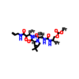 C=CCNC(=O)C(=O)C(CCC)NC(=O)[C@@H]1C2C(CN1C(=O)[C@@H](NC(=O)N[C@@H](COC(=O)OC(C)C)C(C)C)C(C)(C)C)C2(C)C